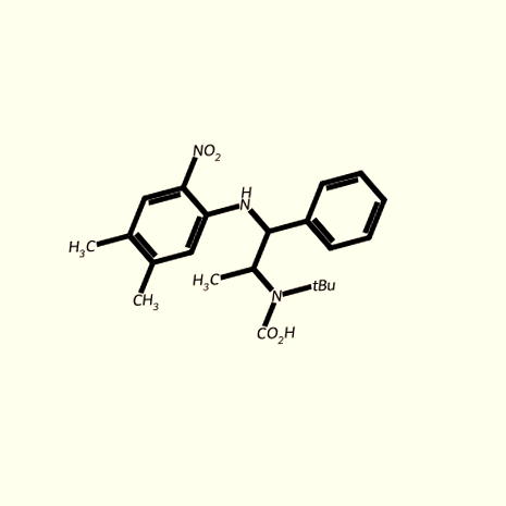 Cc1cc(NC(c2ccccc2)C(C)N(C(=O)O)C(C)(C)C)c([N+](=O)[O-])cc1C